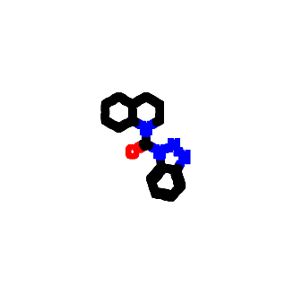 O=C(N1CCCC2CCCCC21)n1nnc2ccccc21